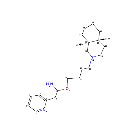 NC(Cc1ccccn1)OCCCCN1CC[C@H]2CCCC[C@@H]2C1